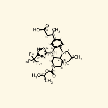 CC(C)CN(c1ccc(C(C)CC(=O)O)cc1Nc1nc(C(F)(F)F)ns1)C1CCN(C(=O)OC(C)C)CC1